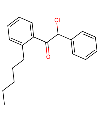 CCCCCc1ccccc1C(=O)C(O)c1ccccc1